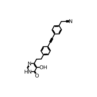 N#CCc1ccc(C#Cc2ccc(CCc3nc[nH]c(=O)c3O)cc2)cc1